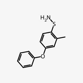 Cc1cc(Oc2ccccc2)ccc1SN